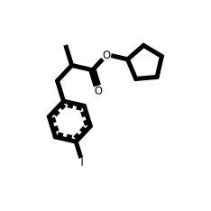 CC(Cc1ccc(I)cc1)C(=O)OC1CCCC1